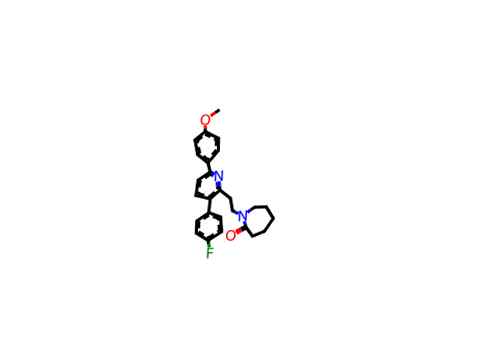 COc1ccc(-c2ccc(-c3ccc(F)cc3)c(CCN3CCCCCC3=O)n2)cc1